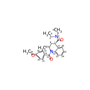 CCN(CC)C(=O)[C@@H]1C[C@@H](C)N(C(=O)c2ccc(OC)cc2)c2ccccc21